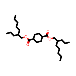 CCCCCC(CCC)COC(=O)C1CCC(C(=O)OCC(CCC)CCCCC)CC1